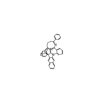 Clc1cccc2c1c1cc3ccccc3cc1n2-c1ccccc1C1=N/C(c2ccccc2)CCC/C(c2ccccc2)=N\1